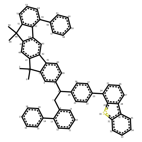 CC1(C)c2cc(C(Cc3ccccc3-c3ccccc3)c3ccc(-c4cccc5c4sc4ccccc45)cc3)ccc2-c2cc3c(cc21)C(C)(C)c1cccc(-c2ccccc2)c1-3